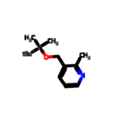 Cc1ncccc1CO[Si](C)(C)C(C)(C)C